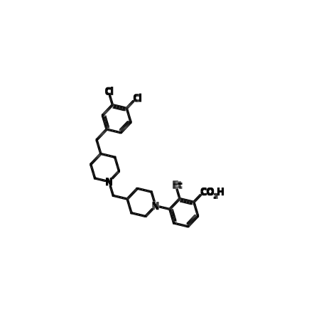 CCc1c(C(=O)O)cccc1N1CCC(CN2CCC(Cc3ccc(Cl)c(Cl)c3)CC2)CC1